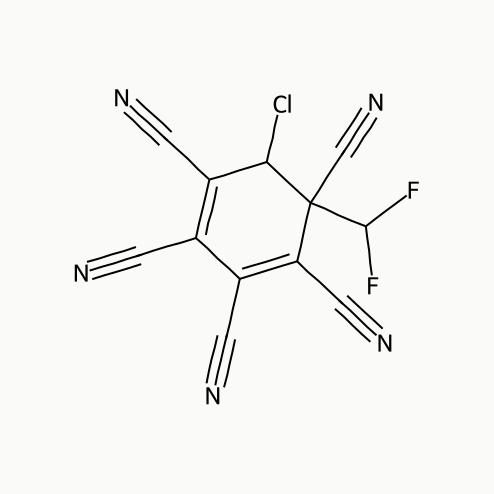 N#CC1=C(C#N)C(Cl)C(C#N)(C(F)F)C(C#N)=C1C#N